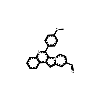 COc1ccc(-c2nc3ccccc3c3cc4cc(C=O)ccn4c23)cc1